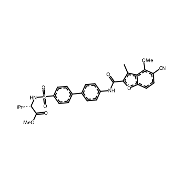 COC(=O)[C@@H](NS(=O)(=O)c1ccc(-c2ccc(NC(=O)c3oc4ccc(C#N)c(OC)c4c3C)cc2)cc1)C(C)C